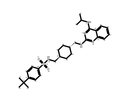 CC(C)Nc1nc(NC[C@H]2CC[C@H](CNS(=O)(=O)c3ccc(C(C)(C)C)cc3)CC2)nc2ccccc12